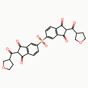 O=C1c2ccc(S(=O)(=O)c3ccc4c(c3)C(=O)C(C(=O)C3CCOC3)C4=O)cc2C(=O)C1C(=O)C1CCOC1